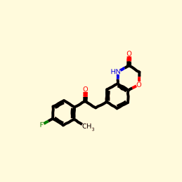 Cc1cc(F)ccc1C(=O)Cc1ccc2c(c1)NC(=O)CO2